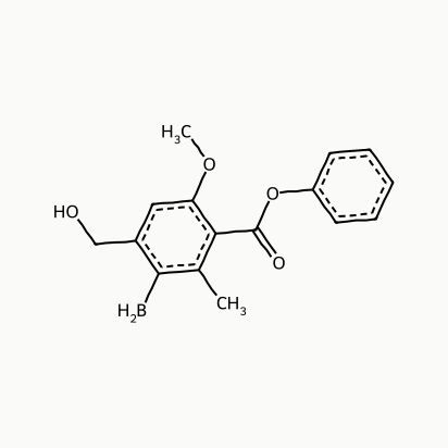 Bc1c(CO)cc(OC)c(C(=O)Oc2ccccc2)c1C